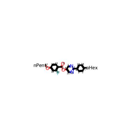 CCCCCCc1ccc(-c2ncc(OC(=O)c3ccc(OCCCCC)cc3F)cn2)cc1